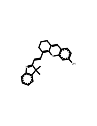 CC1(C)C(C=CC2=C3Oc4cc(O)ccc4C=C3CCC2)=Nc2ccccc21